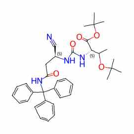 CC(OC(C)(C)C)[C@H](NC(=O)N[C@H](C#N)CC(=O)NC(c1ccccc1)(c1ccccc1)c1ccccc1)C(=O)OC(C)(C)C